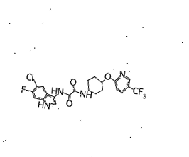 O=C(Nc1c[nH]c2cc(F)c(Cl)cc12)C(=O)N[C@H]1CC[C@H](Oc2ccc(C(F)(F)F)cn2)CC1